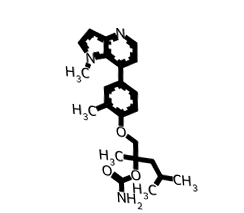 Cc1cc(-c2ccnc3ccn(C)c23)ccc1OCC(C)(CC(C)C)OC(N)=O